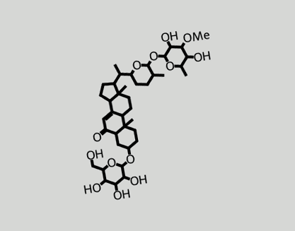 COC1C(O)C(C)OC(OC2OC(C(C)C3CCC4C5=CC(=O)C6CC(OC7OC(CO)C(O)C(O)C7O)CCC6(C)C5CCC43C)CCC2C)C1O